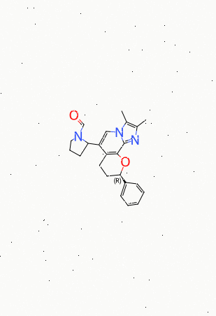 Cc1nc2c3c(c(C4CCCN4C=O)cn2c1C)CC[C@H](c1ccccc1)O3